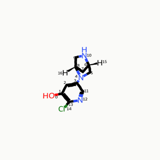 Oc1cc(N2C[C@@H]3C[C@H]2CN3)cnc1Cl